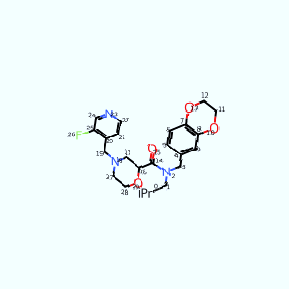 CC(C)CN(Cc1ccc2c(c1)OCCO2)C(=O)C1CN(Cc2ccncc2F)CCO1